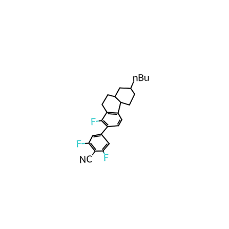 CCCCC1CCC2c3ccc(-c4cc(F)c(C#N)c(F)c4)c(F)c3CCC2C1